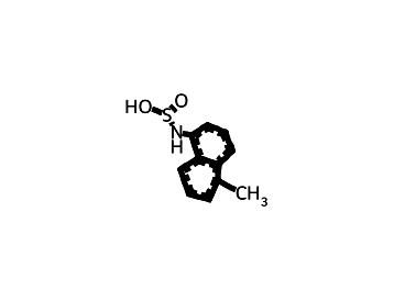 Cc1cccc2c(NS(=O)O)cccc12